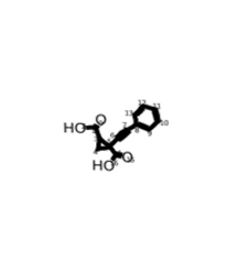 O=C(O)C1CC1(C#Cc1ccccc1)C(=O)O